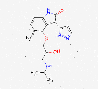 C=C1C=CC2=C(C1OCC(O)CNC(C)C)C(c1ccn[nH]1)C(=O)N2